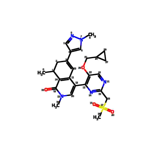 CC1CC(c2cnn(C)c2)=Cc2c(-c3nc(CS(C)(=O)=O)ncc3OCC3CC3)cn(C)c(=O)c21